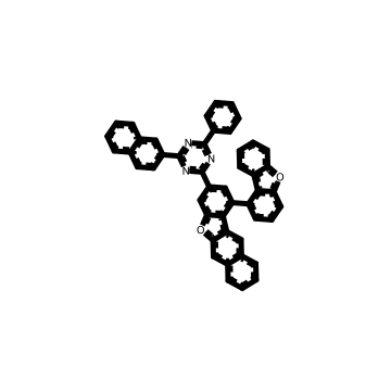 c1ccc(-c2nc(-c3ccc4ccccc4c3)nc(-c3cc(-c4cccc5oc6ccccc6c45)c4c(c3)oc3cc5ccccc5cc34)n2)cc1